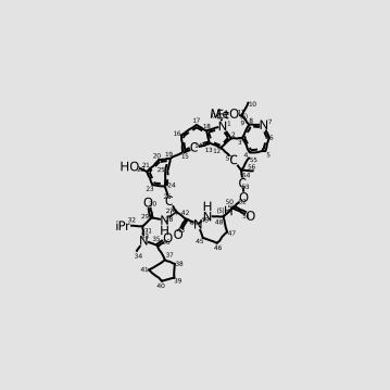 CCn1c(-c2cccnc2[C@H](C)OC)c2c3cc(ccc31)-c1cc(O)cc(c1)C[C@H](NC(=O)C(C(C)C)N(C)C(=O)C1CCCC1)C(=O)N1CCC[C@H](N1)C(=O)OCC(C)(C)C2